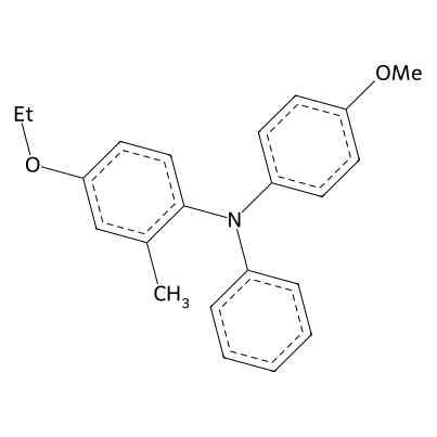 CCOc1ccc(N(c2ccccc2)c2ccc(OC)cc2)c(C)c1